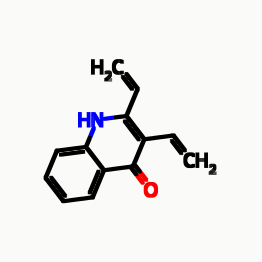 C=Cc1[nH]c2ccccc2c(=O)c1C=C